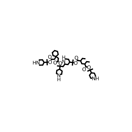 CCC(CC(CC)C(=O)OC(C)(C)C1CCNC(CC(C)(OC(=O)CC2(CC(=O)OC(C)(C)C3CCNCC3)CCCCC2)C2CCNCC2)C1)C(=O)OC(C)(C)C1CCNCC1